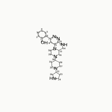 Oc1ccccc1-c1cc2c(nn1)NCC1CN(C3CCN(C4CCNC4)CC3)CCN21